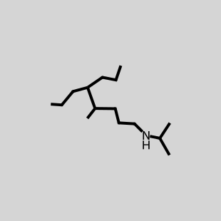 CCCC(CCC)C(C)CCCNC(C)C